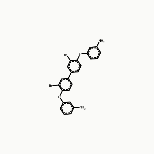 Nc1cccc(Oc2ccc(-c3ccc(Oc4cccc(N)c4)c(Br)c3)cc2Br)c1